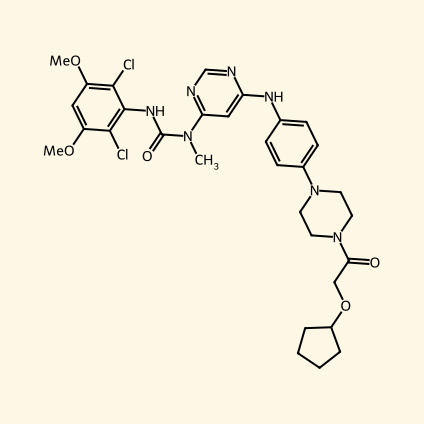 COc1cc(OC)c(Cl)c(NC(=O)N(C)c2cc(Nc3ccc(N4CCN(C(=O)COC5CCCC5)CC4)cc3)ncn2)c1Cl